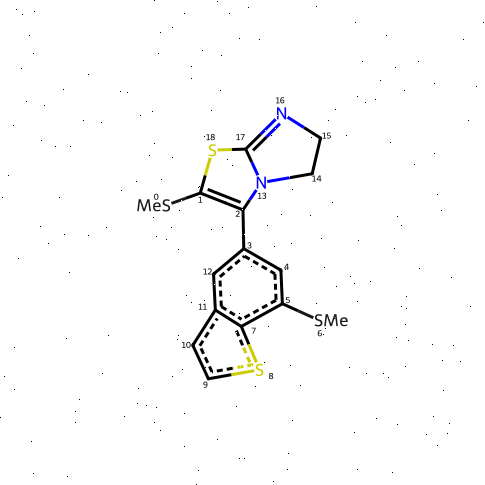 CSC1=C(c2cc(SC)c3sccc3c2)N2CCN=C2S1